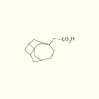 O=C(O)CC12CCC3CC4CC(C1)C4(C3)C2